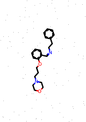 C(=N/CCc1ccccc1)/c1ccccc1OCCCN1CCOCC1